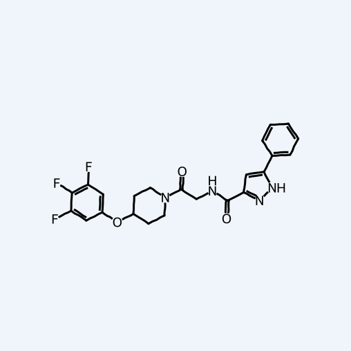 O=C(NCC(=O)N1CCC(Oc2cc(F)c(F)c(F)c2)CC1)c1cc(-c2ccccc2)[nH]n1